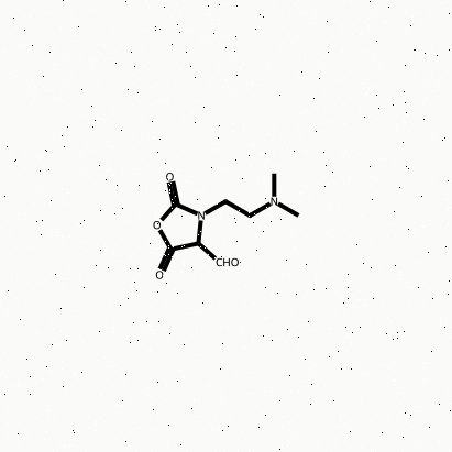 CN(C)CCN1C(=O)OC(=O)C1[C]=O